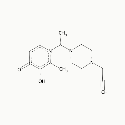 C#CCN1CCN(C(C)n2ccc(=O)c(O)c2C)CC1